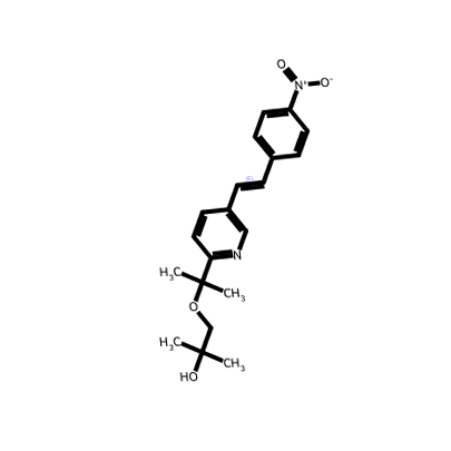 CC(C)(O)COC(C)(C)c1ccc(/C=C/c2ccc([N+](=O)[O-])cc2)cn1